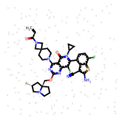 C=CC(=O)N1CC2(CCN(c3nc(OC[C@@]45CCCN4C[C@H](F)C5)nc4c(F)c(-c5ccc(F)c6sc(N)c(C#N)c56)n(C5CC5)c(=O)c34)CC2)C1